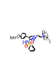 COc1ccc(-c2cn(CCN(C)C)nc2NS(=O)(=O)c2ccccc2)cc1